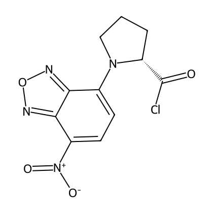 O=C(Cl)[C@H]1CCCN1c1ccc([N+](=O)[O-])c2nonc12